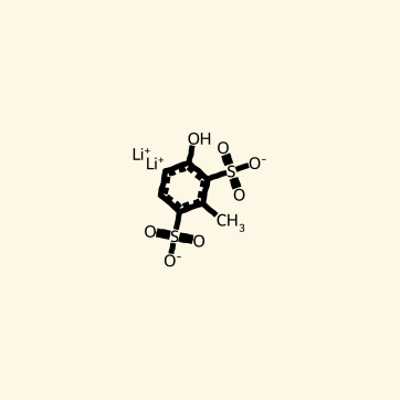 Cc1c(S(=O)(=O)[O-])ccc(O)c1S(=O)(=O)[O-].[Li+].[Li+]